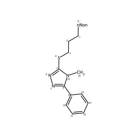 CCCCCCCCCCCCSc1nnc(-c2ccccc2)n1C